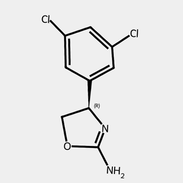 NC1=N[C@H](c2cc(Cl)cc(Cl)c2)CO1